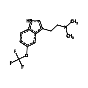 CN(C)CCc1c[nH]c2ccc(OC(F)(F)F)cc12